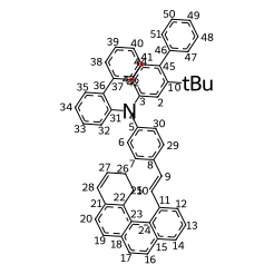 CC(C)(C)c1cc(N(c2ccc(C=Cc3cccc4ccc5ccc6c(c5c34)CCC=C6)cc2)c2ccccc2-c2ccccc2)ccc1-c1ccccc1